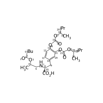 CCC(C)C(=O)OC(C)CN[C@@H](Cc1ccc(OC(=O)OC(C)C(C)C)c(OC(=O)OC(C)C(C)C)c1)C(=O)O